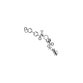 CC(C)(CN=[N+]=[N-])OC(=O)n1cc2c(n1)CCC(N(C(=O)c1ccc(-c3ccc4c(c3)CCO4)cc1)C1CC1)C2